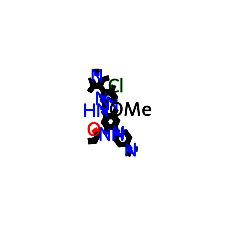 C=CC(=O)Nc1cc(Nc2ncc(Cl)c(-c3c(C)cn(C)c3C)n2)c(OC)cc1N1CCC(N(C)C)CC1